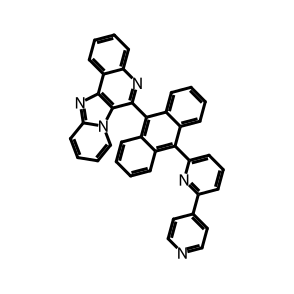 c1cc(-c2ccncc2)nc(-c2c3ccccc3c(-c3nc4ccccc4c4nc5ccccn5c34)c3ccccc23)c1